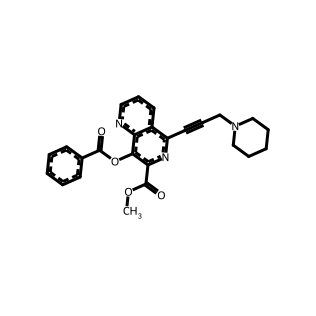 COC(=O)c1nc(C#CCN2CCCCC2)c2cccnc2c1OC(=O)c1ccccc1